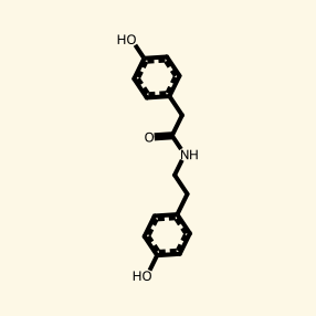 O=C(Cc1ccc(O)cc1)NCCc1ccc(O)cc1